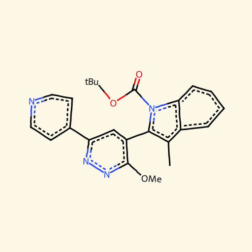 COc1nnc(-c2ccncc2)cc1-c1c(C)c2ccccc2n1C(=O)OC(C)(C)C